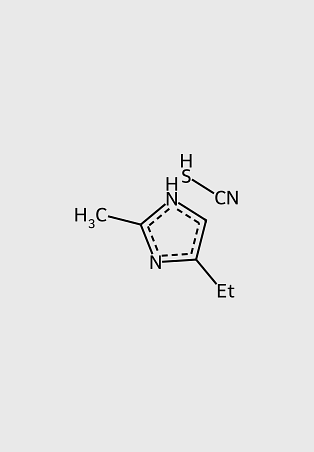 CCc1c[nH]c(C)n1.N#CS